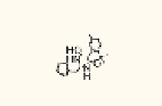 Cc1ccc2c(c1)C1=C(NC(Cc3ccccc3)NC1O)OC2(C)C